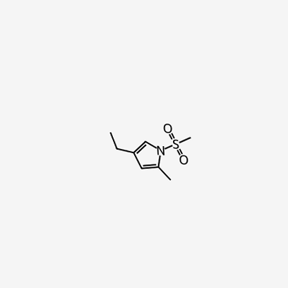 CCc1cc(C)n(S(C)(=O)=O)c1